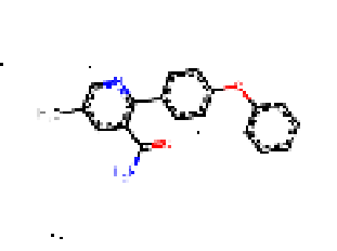 Cc1cnc(-c2ccc(Oc3ccccc3)cc2)c(C(N)=O)c1